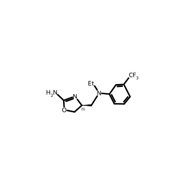 CCN(C[C@H]1COC(N)=N1)c1cccc(C(F)(F)F)c1